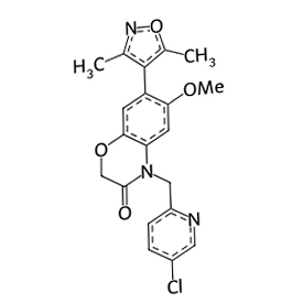 COc1cc2c(cc1-c1c(C)noc1C)OCC(=O)N2Cc1ccc(Cl)cn1